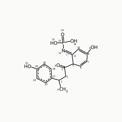 CC(CC(=O)C1C=CC(O)=C/C1=N\P(=O)(O)O)c1ccc(O)cc1